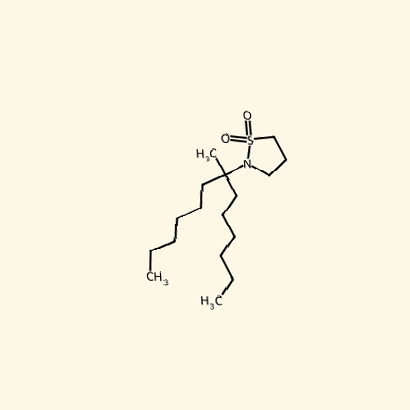 CCCCCCC(C)(CCCCCC)N1CCCS1(=O)=O